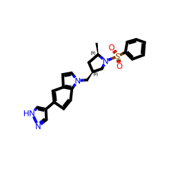 C[C@@H]1C[C@H](Cn2ccc3cc(-c4cn[nH]c4)ccc32)CN1S(=O)(=O)c1ccccc1